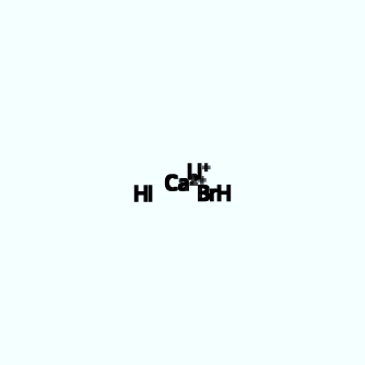 Br.I.[Ca+2].[Li+]